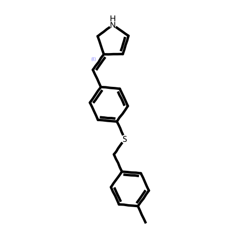 Cc1ccc(CSc2ccc(/C=C3\C=CNC3)cc2)cc1